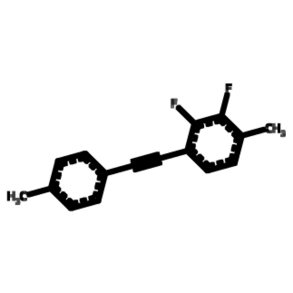 Cc1ccc(C#Cc2ccc(C)c(F)c2F)cc1